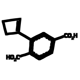 O=C(O)c1ccc(C(=O)O)c(C2=CCC2)c1